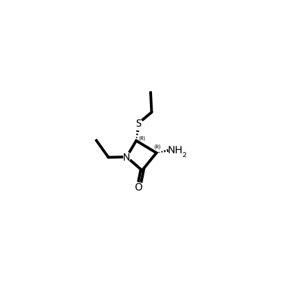 CCS[C@@H]1[C@H](N)C(=O)N1CC